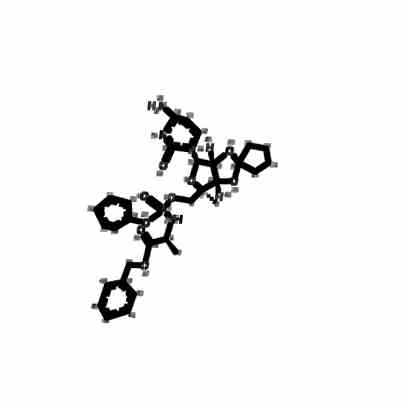 C[C@H](NP(=O)(OC[C@@]1(C)O[C@@H](n2ccc(N)nc2=O)[C@@H]2OC3(CCCC3)O[C@@H]21)Oc1ccccc1)C(=O)OCc1ccccc1